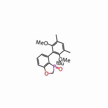 COc1c(C)cc(C)c(OC)c1-c1cccc2c1[P@](=O)(C(C)(C)C)CO2